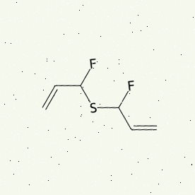 C=CC(F)SC(F)C=C